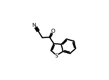 N#CCC(=O)c1csc2ccccc12